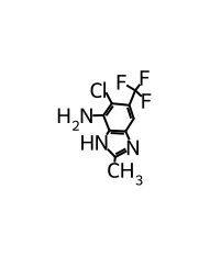 Cc1nc2cc(C(F)(F)F)c(Cl)c(N)c2[nH]1